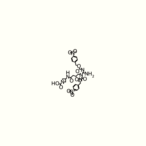 NC(=NC(=O)OCc1ccc([N+](=O)[O-])cc1)N(CC(O)CC(=O)NC1CN(C(=O)O)C1)C(=O)OCc1ccc([N+](=O)[O-])cc1